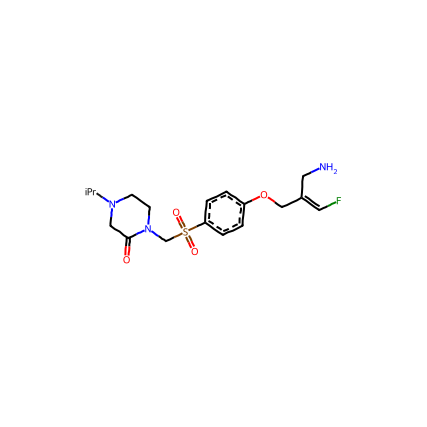 CC(C)N1CCN(CS(=O)(=O)c2ccc(OCC(=CF)CN)cc2)C(=O)C1